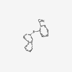 CC(=O)Oc1ccccc1Sc1ccc2ccccc2c1